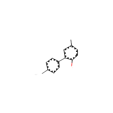 CCOC(=O)c1ccc(O)c(-c2ccc(OC)cc2)c1